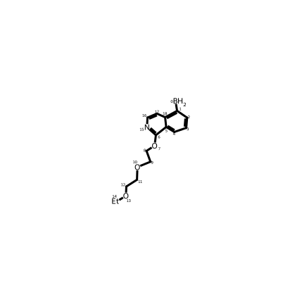 Bc1cccc2c(OCCOCCOCC)nccc12